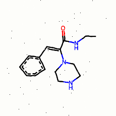 CCNC(=O)C(=Cc1ccccc1)N1CCNCC1